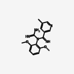 COc1cccc(OC)c1N(C(=N)N)C(=N)c1cncc(C)c1